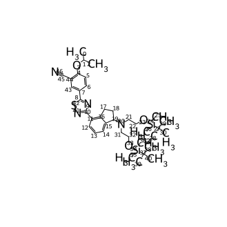 CC(C)Oc1ccc(-c2nc(-c3cccc4c3CC[C@H]4N(CCO[Si](C)(C)C(C)(C)C)CCO[Si](C)(C)C(C)(C)C)ns2)cc1C#N